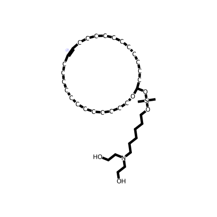 C[Si](C)(OCCCCCCN(CCO)CCO)OC1CCCCCCCCCCC/C=C\CCCCCCCCCCCCO1